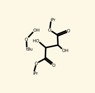 CC(C)(C)OO.CC(C)OC(=O)C(O)C(O)C(=O)OC(C)C